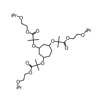 CC(C)OCCOC(=O)C(C)(C)OC1CCC(OC(C)(C)C(=O)OCCOC(C)C)CC(OC(C)(C)C(=O)OCCOC(C)C)C1